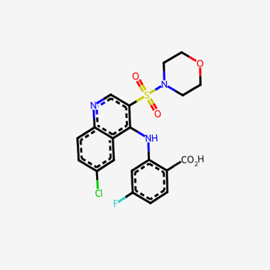 O=C(O)c1ccc(F)cc1Nc1c(S(=O)(=O)N2CCOCC2)cnc2ccc(Cl)cc12